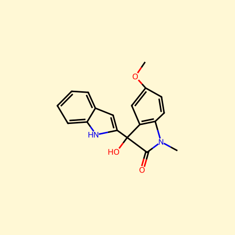 COc1ccc2c(c1)C(O)(c1cc3ccccc3[nH]1)C(=O)N2C